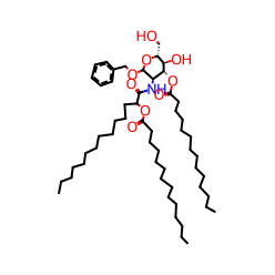 CCCCCCCCCCCCCC(=O)OC(CCCCCCCCCCCC)C(=O)N[C@H]1C(OCc2ccccc2)O[C@H](CO)[C@@H](O)[C@@H]1OC(=O)CCCCCCCCCCCCC